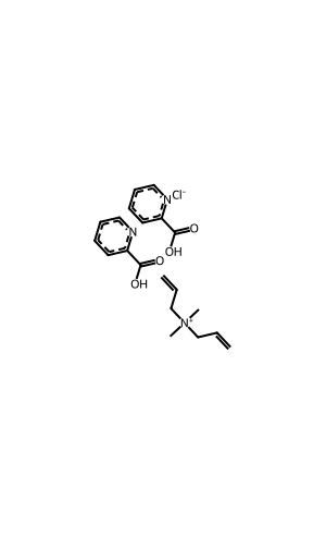 C=CC[N+](C)(C)CC=C.O=C(O)c1ccccn1.O=C(O)c1ccccn1.[Cl-]